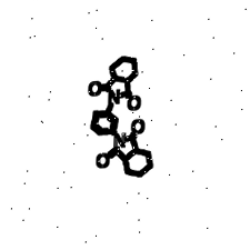 O=C1C2CCCCC2C(=O)N1c1cccc(N2C(=O)C3CCCCC3C2=O)c1